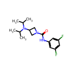 CC(C)N(C(C)C)C1CN(C(=O)Nc2cc(F)cc(F)c2)C1